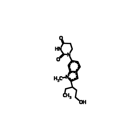 CCC(CCO)c1cc2ccc(N3CCC(=O)NC3=O)cc2n1C